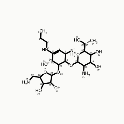 CCCNC1=CC(N)C(OC2OC([C@@H](C)O)C(O)C(O)C2N)C(OC2OC(CN)C(O)C2O)[C@@H]1O